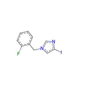 Fc1ccccc1Cn1cnc(I)c1